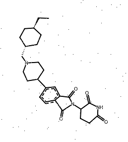 CC[C@H]1CC[C@H](CN2CCC(c3ccc4c(c3)C(=O)N(C3CCC(=O)NC3=O)C4=O)CC2)CC1